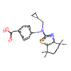 CC1(C)CCC(C)(C)c2sc(N(CC3CC3)c3ccc(C(=O)O)cc3)nc21